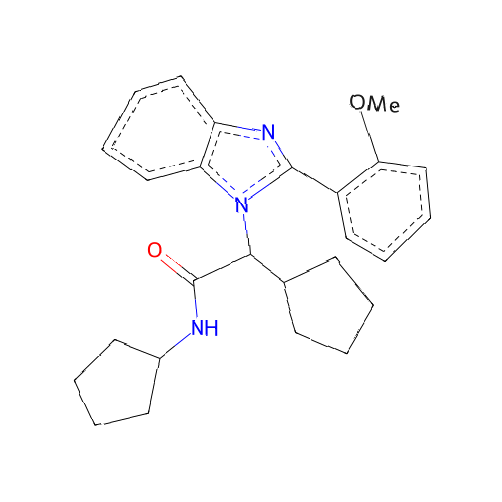 COc1ccccc1-c1nc2ccccc2n1C(C(=O)NC1CCCC1)C1CCCC1